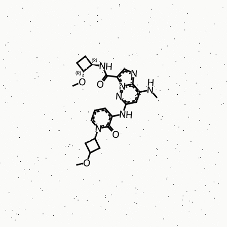 CNc1cc(Nc2cccn(C3CC(OC)C3)c2=O)nn2c(C(=O)N[C@@H]3CC[C@H]3OC)cnc12